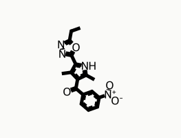 CCc1nnc(-c2[nH]c(C)c(C(=O)c3cccc([N+](=O)[O-])c3)c2C)o1